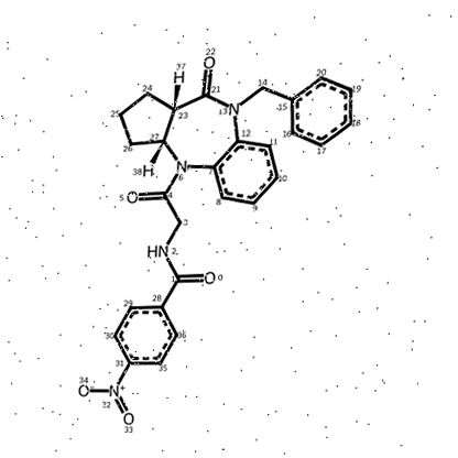 O=C(NCC(=O)N1c2ccccc2N(Cc2ccccc2)C(=O)[C@H]2CCC[C@H]21)c1ccc([N+](=O)[O-])cc1